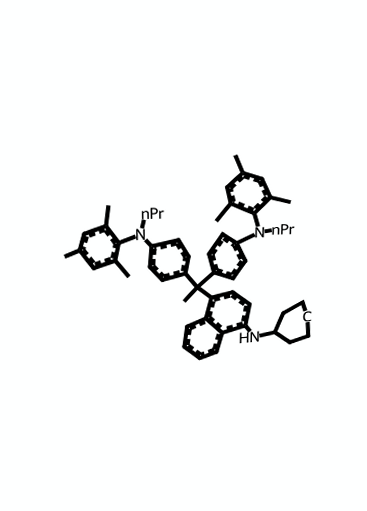 CCCN(c1ccc(C(C)(c2ccc(N(CCC)c3c(C)cc(C)cc3C)cc2)c2ccc(NC3CCCCC3)c3ccccc23)cc1)c1c(C)cc(C)cc1C